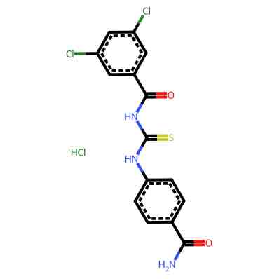 Cl.NC(=O)c1ccc(NC(=S)NC(=O)c2cc(Cl)cc(Cl)c2)cc1